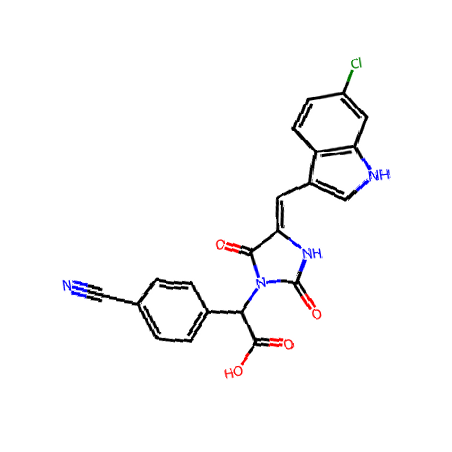 N#Cc1ccc(C(C(=O)O)N2C(=O)N/C(=C\c3c[nH]c4cc(Cl)ccc34)C2=O)cc1